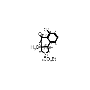 CCOC(=O)N1C[C@H]2c3cccc(Cl)c3C(=O)O[C@@]2(C)C1